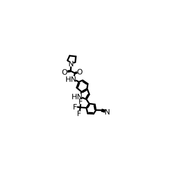 N#Cc1ccc(C(F)(F)F)c(-c2cc3ccc(NC(=O)C(=O)N4CCCC4)cc3[nH]2)c1